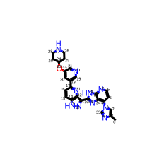 Cc1cn(-c2ccnc3[nH]c(-c4n[nH]c5ccc(-c6cncc(OC7CCNCC7)c6)nc45)nc23)cn1